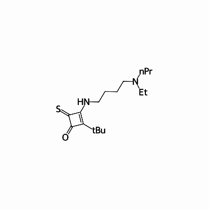 CCCN(CC)CCCCNc1c(C(C)(C)C)c(=O)c1=S